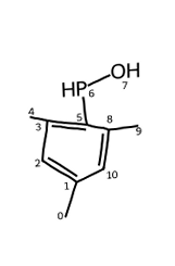 Cc1cc(C)c(PO)c(C)c1